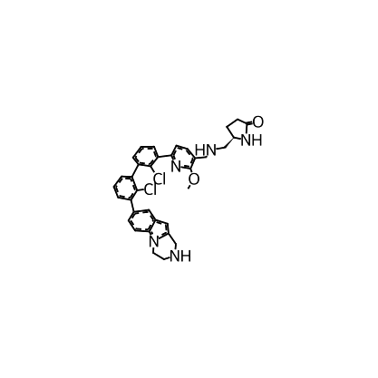 COc1nc(-c2cccc(-c3cccc(-c4ccc5c(c4)cc4n5CCNC4)c3Cl)c2Cl)ccc1CNC[C@H]1CCC(=O)N1